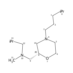 CC(C)CCCN1CCO[C@H](CN(C)CC(C)C)C1